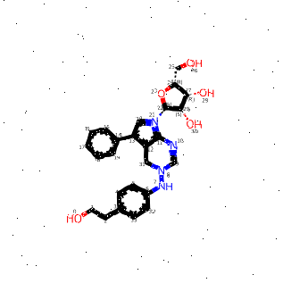 OCCc1ccc(NN2C=Nc3c(c(-c4ccccc4)cn3[C@@H]3O[C@H](CO)[C@H](O)[C@@H]3O)C2)cc1